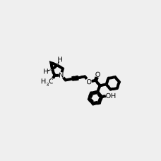 CC1[C@H]2C[C@H]2CN1CC#CCOC(=O)C(c1ccccc1O)C1CCCCC1